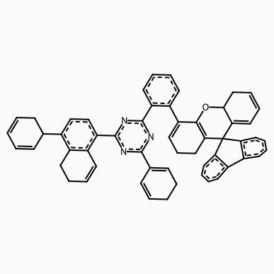 C1=CCC2OC3=C(CCC=C3c3ccccc3-c3nc(C4=CCCC=C4)nc(-c4ccc(C5C=CC=CC5)c5c4C=CCC5)n3)C3(C2=C1)c1ccccc1-c1ccccc13